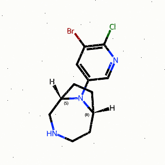 Clc1ncc(N2[C@H]3CCNC[C@@H]2CC3)cc1Br